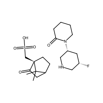 CC1(C)C2CC[C@@]1(CS(=O)(=O)O)C(=O)C2.O=C1CCCCN1[C@H]1CNC[C@@H](F)C1